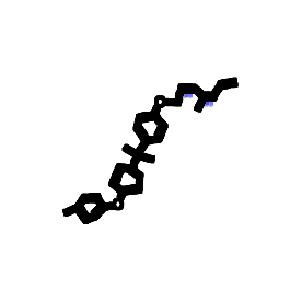 C=C/C=C(C)\C=C/COc1ccc(C(C)(C)c2ccc(Oc3ccc(C)cc3)cc2)cc1